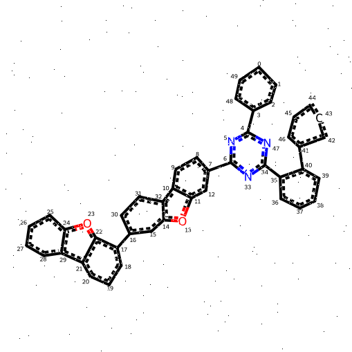 c1ccc(-c2nc(-c3ccc4c(c3)oc3cc(-c5cccc6c5oc5ccccc56)ccc34)nc(-c3ccccc3-c3ccccc3)n2)cc1